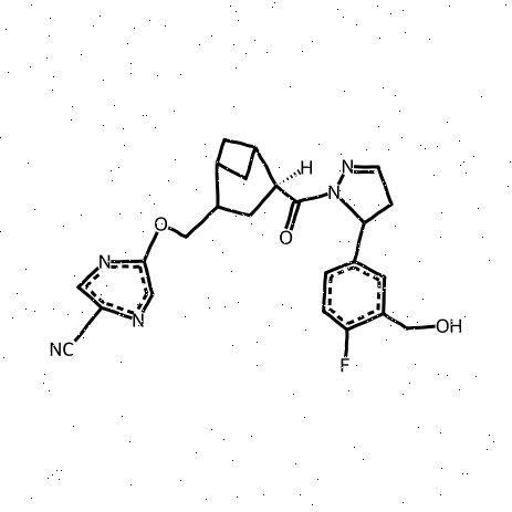 N#Cc1cnc(OCC2C[C@H](C(=O)N3N=CCC3c3ccc(F)c(CO)c3)C3CC2C3)cn1